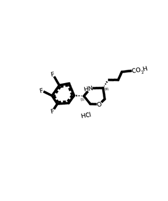 Cl.O=C(O)CCC[C@@H]1COC[C@H](c2cc(F)c(F)c(F)c2)N1